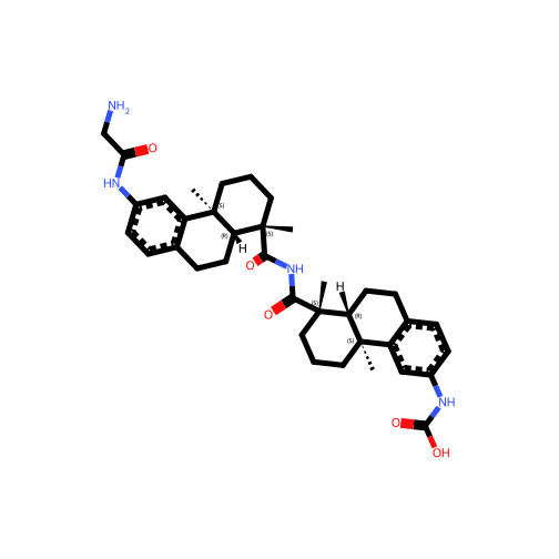 C[C@]1(C(=O)NC(=O)[C@@]2(C)CCC[C@]3(C)c4cc(NC(=O)CN)ccc4CC[C@@H]23)CCC[C@]2(C)c3cc(NC(=O)O)ccc3CC[C@@H]12